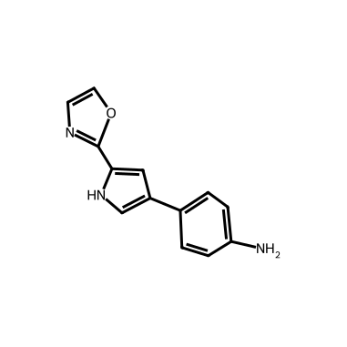 Nc1ccc(-c2c[nH]c(-c3ncco3)c2)cc1